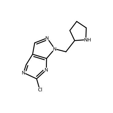 Clc1ncc2cnn(CC3CCCN3)c2n1